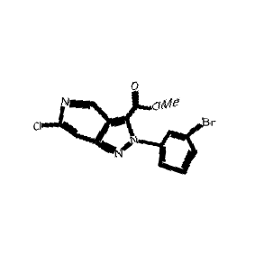 COC(=O)c1c2cnc(Cl)cc2nn1-c1cccc(Br)c1